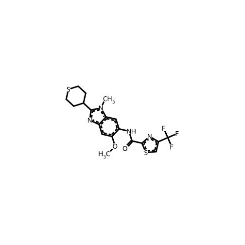 COc1cc2nc(C3CCSCC3)n(C)c2cc1NC(=O)c1nc(C(F)(F)F)cs1